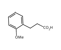 COc1cc[c]cc1CCC(=O)O